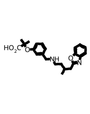 CC(CCNCc1cccc(OC(C)(C)C(=O)O)c1)Cc1nc2ccccc2o1